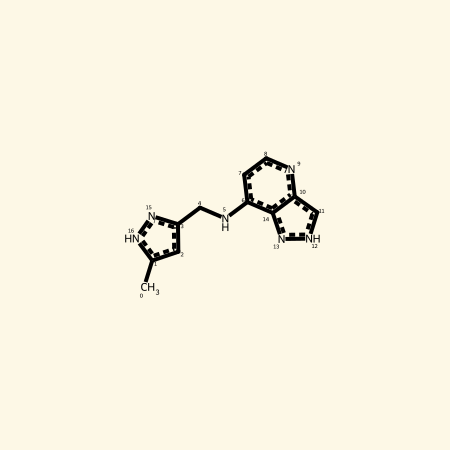 Cc1cc(CNc2ccnc3c[nH]nc23)n[nH]1